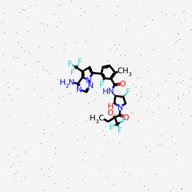 CCC(O)(C(=O)N1C[C@H](F)[C@H](NC(=O)c2c(C)ccc(-c3cc(C(F)(F)F)c4c(N)ncnn34)c2F)C1)C(F)(F)F